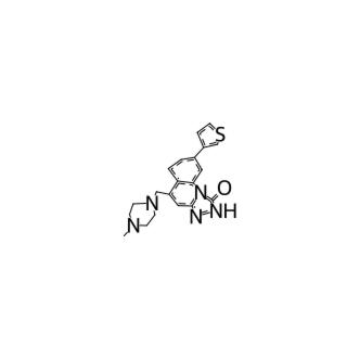 CN1CCN(Cc2cc3n[nH]c(=O)n3c3cc(-c4ccsc4)ccc23)CC1